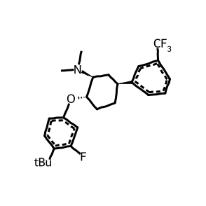 CN(C)[C@H]1C[C@@H](c2cccc(C(F)(F)F)c2)CC[C@@H]1Oc1ccc(C(C)(C)C)c(F)c1